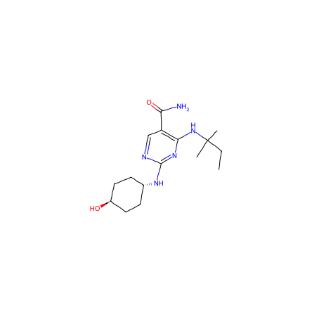 CCC(C)(C)Nc1nc(N[C@H]2CC[C@H](O)CC2)ncc1C(N)=O